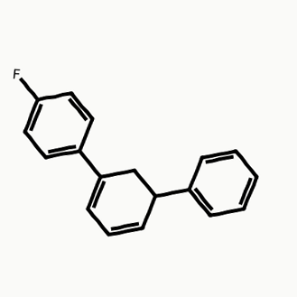 Fc1ccc(C2=CC=CC(c3ccccc3)C2)cc1